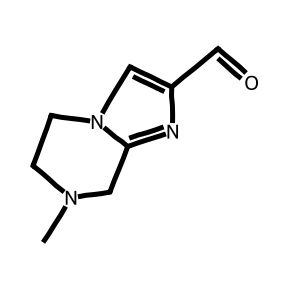 CN1CCn2cc(C=O)nc2C1